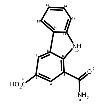 NC(=O)c1cc(C(=O)O)cc2c1[nH]c1ccccc12